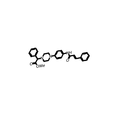 COC(=O)C(c1ccccc1)N1CCN(c2ccc(NC(=O)C=Cc3ccccc3)cc2)CC1